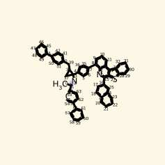 C/C(=N\C1(c2ccc(-c3cccc4c3nc(-c3ccc5ccccc5c3)c3sc5ccccc5c34)cc2)CC1Cc1ccc(-c2ccccc2)cc1)c1ccc(-c2ccccc2)cc1